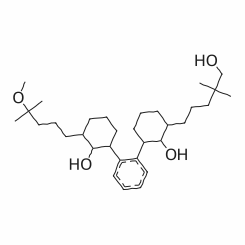 COC(C)(C)CCCC1CCCC(c2ccccc2C2CCCC(CCCC(C)(C)CO)C2O)C1O